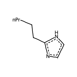 CCCCCc1n[c]c[nH]1